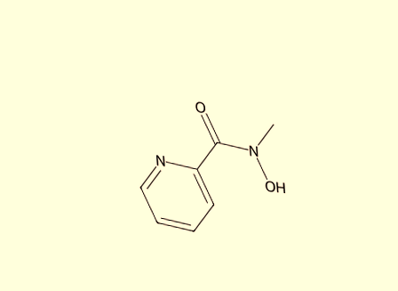 CN(O)C(=O)c1ccccn1